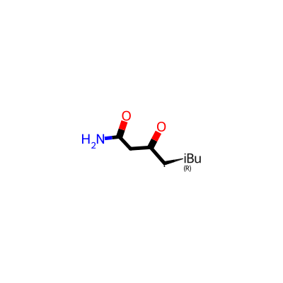 CC[C@H](C)[CH]C(=O)CC(N)=O